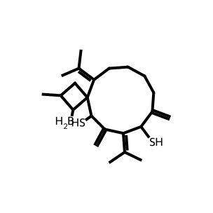 BC1C(C)CC12C(=C(C)C)CCCCC(=C)C(S)C(=C(C)C)C(=C)C2S